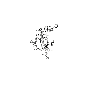 CCOC(=O)[C@H]1C[C@@]23CC[C@]1(O)[C@@H]1Oc4c(C)ccc5c4[C@@]12CCN(CC1CC1)[C@@H]3C5